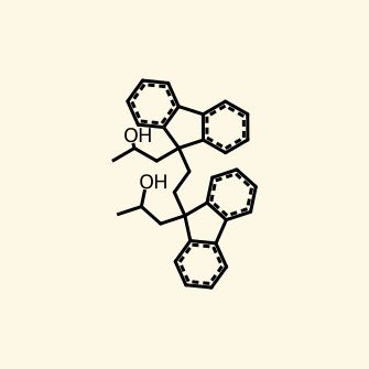 CC(O)CC1(CCC2(CC(C)O)c3ccccc3-c3ccccc32)c2ccccc2-c2ccccc21